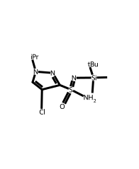 CC(C)n1cc(Cl)c(S(N)(=O)=N[Si](C)(C)C(C)(C)C)n1